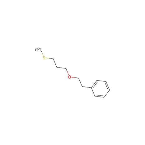 CCCSCCCOCCc1ccccc1